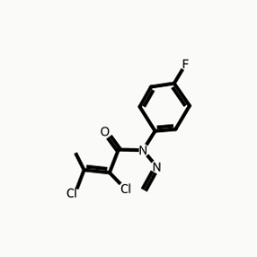 C=NN(C(=O)/C(Cl)=C(\C)Cl)c1ccc(F)cc1